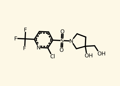 O=S(=O)(c1ccc(C(F)(F)F)nc1Cl)N1CCC(O)(CO)C1